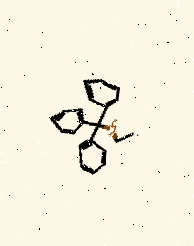 [CH2]CSC(c1ccccc1)(c1ccccc1)c1ccccc1